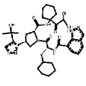 CC(C)(O)c1cnnn1[C@H]1C[C@@H](C(=O)NC2(C(=O)C(N)O)CCCCC2)N(C(=O)[C@@H](CC2CCCCC2)NC(=O)c2cccc3cn[nH]c23)C1